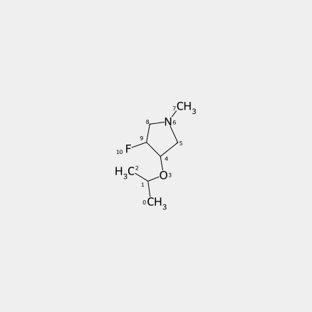 CC(C)OC1CN(C)CC1F